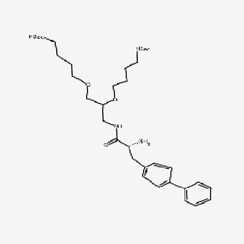 CCCCCCCCCCCCCCOCC(CNC(=O)[C@H](N)Cc1ccc(-c2ccccc2)cc1)OCCCCCCCCCCCCCC